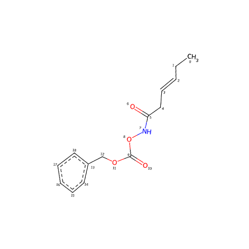 CCC=CCC(=O)NOC(=O)OCc1ccccc1